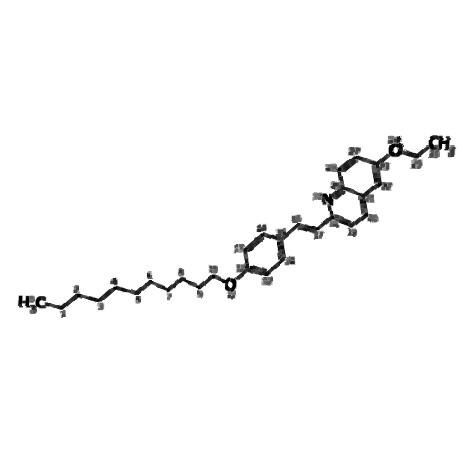 CCCCCCCCCCCOc1ccc(C=Cc2ccc3cc(OCC)ccc3n2)cc1